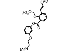 CNCCOc1cccc(OC(=O)c2cccc(C=CC=O)c2OCC(=O)O)c1